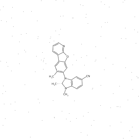 Cc1cc2c(cc1N1c3cc(C#N)ccc3N(C)[C@@H]1C)oc1ncccc12